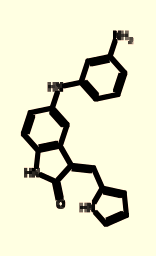 Nc1cccc(Nc2ccc3c(c2)C(=Cc2ccc[nH]2)C(=O)N3)c1